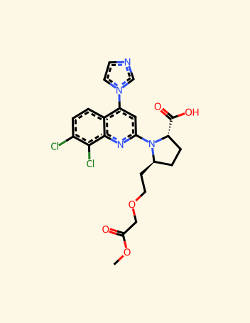 COC(=O)COCC[C@@H]1CC[C@@H](C(=O)O)N1c1cc(-n2ccnc2)c2ccc(Cl)c(Cl)c2n1